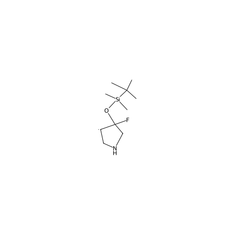 CC(C)(C)[Si](C)(C)OC1(F)[CH]CNC1